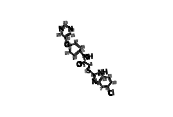 O=C(CSc1nc2cc(Cl)ccc2[nH]1)Nc1ccc(Oc2cncnc2)cc1